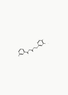 COc1cc(CCC(=O)CC(=O)c2cccc(Cl)c2)ccc1O